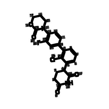 O=C1CCC(c2cccc(-c3ccc(N4CCCOC4=O)c(F)c3)c2Cl)C(=O)N1